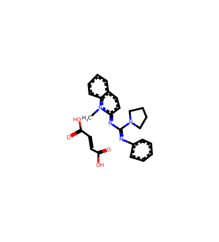 Cn1/c(=N/C(=N/c2ccccc2)N2CCCC2)ccc2ccccc21.O=C(O)/C=C/C(=O)O